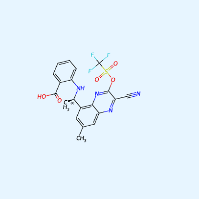 Cc1cc([C@@H](C)Nc2ccccc2C(=O)O)c2nc(OS(=O)(=O)C(F)(F)F)c(C#N)nc2c1